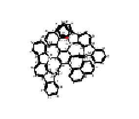 N#Cc1c(-c2cccc3ccccc23)c(C#N)c(-n2c3ccccc3c3ccc4c5ccccc5sc4c32)c(-c2cccc3ccccc23)c1-n1c2ccccc2c2ccc3c4ccccc4sc3c21